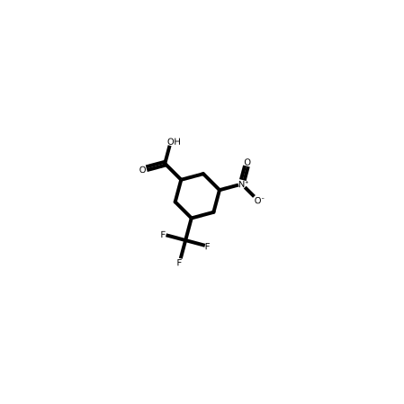 O=C(O)C1CC([N+](=O)[O-])CC(C(F)(F)F)C1